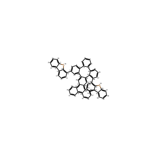 c1ccc2c(c1)-c1ccc(-c3cccc4c3sc3ccccc34)cc1-c1cc3c4ccccc4c4ccccc4c3cc1-c1c-2cccc1-c1cccc2c1sc1ccccc12